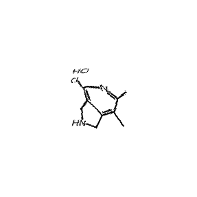 Cc1nc(Cl)c2c(c1C)CNC2.Cl